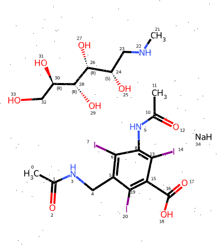 CC(=O)NCc1c(I)c(NC(C)=O)c(I)c(C(=O)O)c1I.CNC[C@H](O)[C@@H](O)[C@H](O)[C@H](O)CO.[NaH]